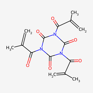 C=C(C)C(=O)n1c(=O)n(C(=O)C(=C)C)c(=O)n(C(=O)C(=C)C)c1=O